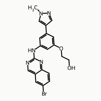 Cn1cc(-c2cc(Nc3ncc4cc(Br)ccc4n3)cc(OCCO)c2)cn1